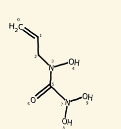 C=CCN(O)C(=O)N(O)O